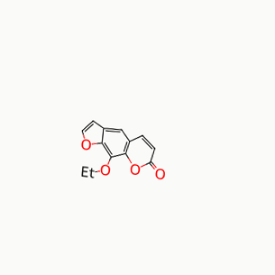 CCOc1c2occc2cc2ccc(=O)oc12